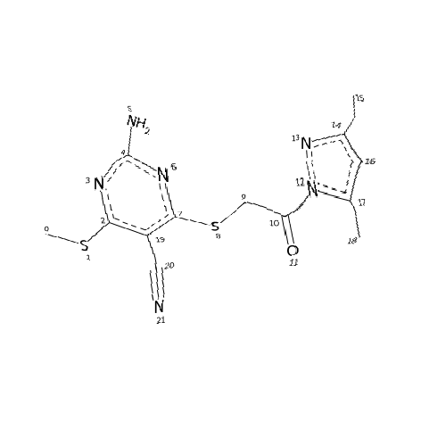 CSc1nc(N)nc(SCC(=O)n2nc(C)cc2C)c1C#N